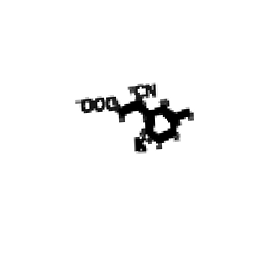 Cc1cccc(C(C#N)=CC(=O)[O-])c1.[K+]